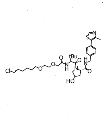 Cc1ncsc1-c1ccc(CNC(=O)[C@@H]2C[C@@H](O)CN2C(=O)[C@@H](NC(=O)COCCOCCCCCCCl)C(C)(C)C)cc1